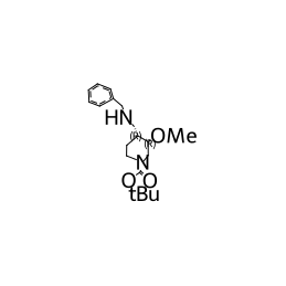 CO[C@H]1CN(C(=O)OC(C)(C)C)CC[C@@H]1CNCc1ccccc1